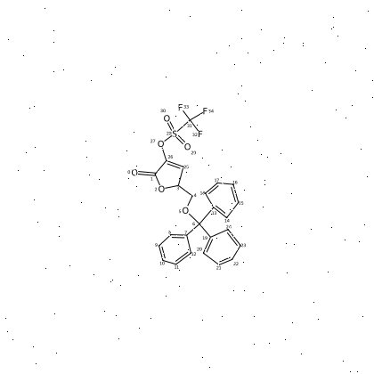 O=C1OC(COC(c2ccccc2)(c2ccccc2)c2ccccc2)C=C1OS(=O)(=O)C(F)(F)F